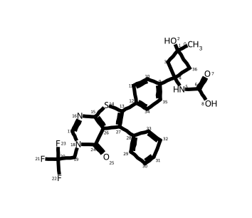 CC1(O)CC(NC(=O)O)(c2ccc(-c3sc4ncn(CC(F)(F)F)c(=O)c4c3-c3ccccc3)cc2)C1